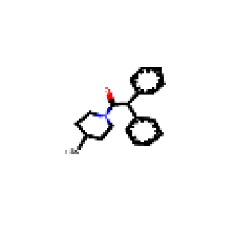 CCC[CH]C1CCN(C(=O)C(c2ccccc2)c2ccccc2)CC1